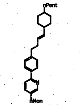 CCCCCCCCCc1ccc(-c2ccc(CCC=CC3CCC(CCCCC)CC3)cc2)nc1